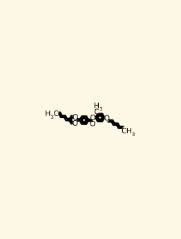 CCCCCCCOc1ccc(OC(=O)c2ccc(C3OCC(CCCCC)CO3)cc2)c(C)c1